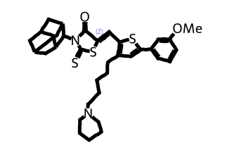 COc1cccc(-c2cc(CCCCCN3CCCCC3)c(/C=C3\SC(=S)N(C4C5CC6CC(C5)CC4C6)C3=O)s2)c1